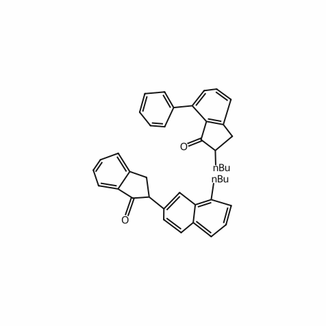 CCCCC1Cc2cccc(-c3ccccc3)c2C1=O.CCCCc1cccc2ccc(C3Cc4ccccc4C3=O)cc12